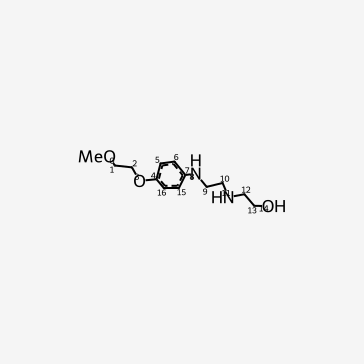 COCCOc1ccc(NCCNCCO)cc1